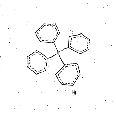 I.c1ccc([I+](c2ccccc2)(c2ccccc2)c2ccccc2)cc1